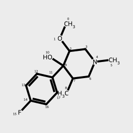 COC1CN(C)CC(C)C1(O)c1ccc(F)cc1